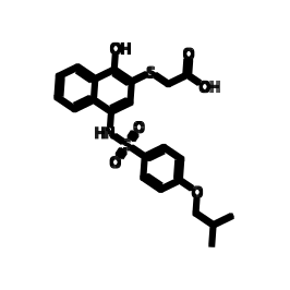 CC(C)COc1ccc(S(=O)(=O)Nc2cc(SCC(=O)O)c(O)c3ccccc23)cc1